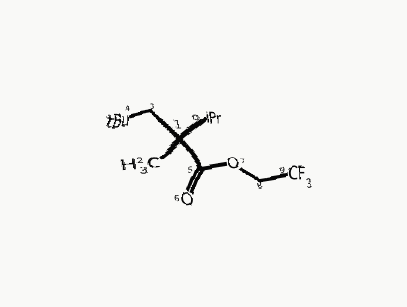 CC(C)C(C)(CC(C)(C)C)C(=O)OCC(F)(F)F